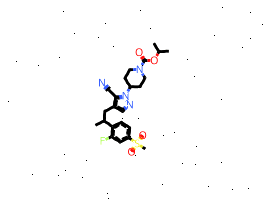 CC(C)OC(=O)N1CCC(n2ncc(CC(C)c3ccc(S(C)(=O)=O)cc3F)c2C#N)CC1